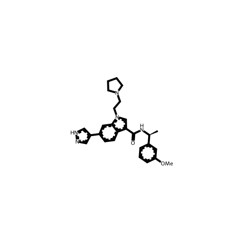 COc1cccc([C@H](C)NC(=O)c2cn(CCN3CCCC3)c3cc(-c4cn[nH]c4)ccc23)c1